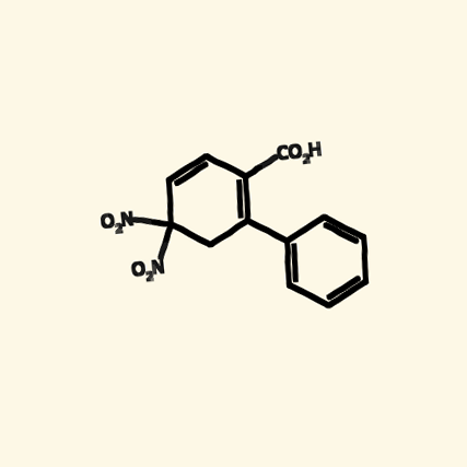 O=C(O)C1=C(c2ccccc2)CC([N+](=O)[O-])([N+](=O)[O-])C=C1